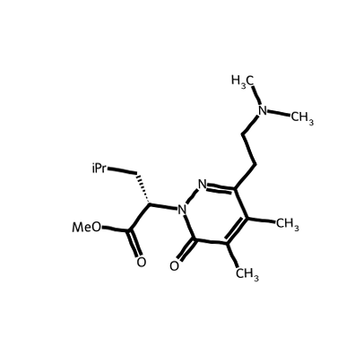 COC(=O)[C@H](CC(C)C)n1nc(CCN(C)C)c(C)c(C)c1=O